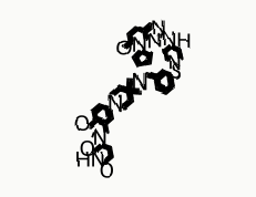 CN(Cc1cc(N2CCC3(CC2)CN(Cc2cccc(SN4CCC(Nc5ncc6ccc(=O)n(C7CCCC7)c6n5)CC4)c2)C3)ccc1C=O)C1CCC(=O)NC1=O